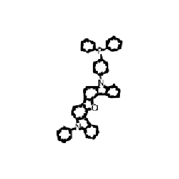 c1ccc(-n2c3ccccc3c3c4oc5c(ccc6c5c5ccccc5n6-c5ccc(P(c6ccccc6)c6ccccc6)cc5)c4ccc32)cc1